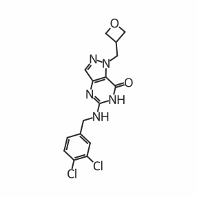 O=c1[nH]c(NCc2ccc(Cl)c(Cl)c2)nc2cnn(CC3COC3)c12